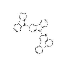 c1ccc2c(c1)-c1cccc3nc(-n4c5ccccc5c5cc(-n6c7ccccc7c7ccccc76)ccc54)cc-2c13